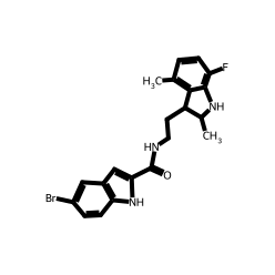 Cc1ccc(F)c2c1C(CCNC(=O)c1cc3cc(Br)ccc3[nH]1)C(C)N2